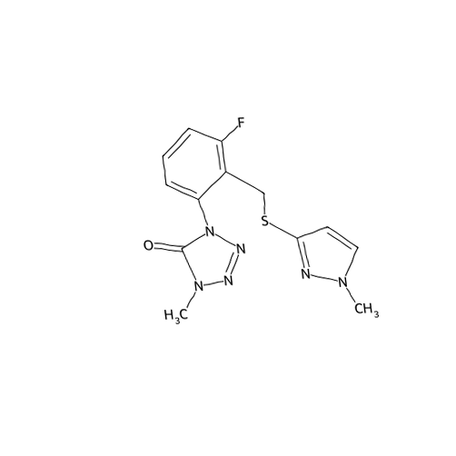 Cn1ccc(SCc2c(F)cccc2-n2nnn(C)c2=O)n1